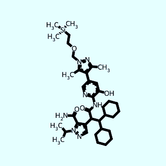 Cc1nn(COCC[Si](C)(C)C)c(C)c1-c1cnc(NC(=O)C(c2cnn(C(C)C)c2C(N)=O)C(C2CCCCC2)C2CCCCC2)c(O)c1